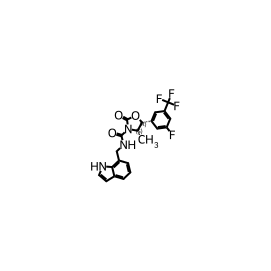 C[C@H]1[C@@H](c2cc(F)cc(C(F)(F)F)c2)OC(=O)N1C(=O)NCc1cccc2cc[nH]c12